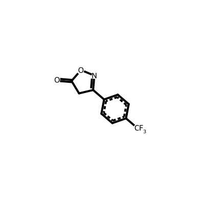 O=C1CC(c2ccc(C(F)(F)F)cc2)=NO1